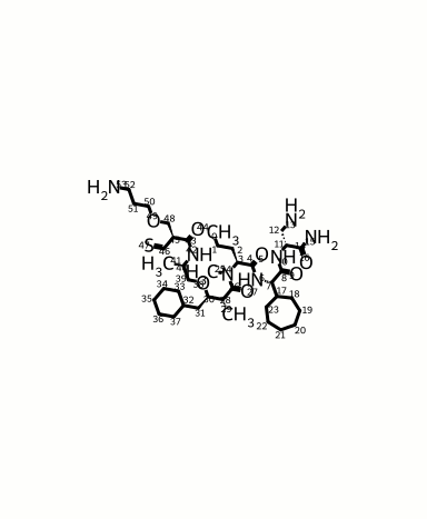 CCC[C@@H](C(=O)N[C@H](C(=O)N[C@H](CN)C(N)=O)C1CCCCCC1)N(C)C(=O)[C@H](C)[C@@H](CC1CCCCC1)OC[C@@H](C)NC(=O)[C@@H](C=S)COCCCN